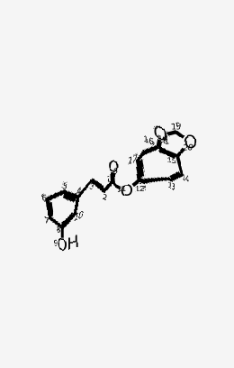 O=C(/C=C/c1cccc(O)c1)Oc1ccc2c(c1)OCO2